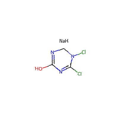 OC1=NCN(Cl)C(Cl)=N1.[NaH]